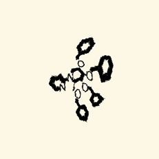 c1ccc(COC[C@H]2[C@@H](OCc3ccccc3)[C@H](OCc3ccccc3)[C@@H](OCc3ccccc3)CN2c2ccccn2)cc1